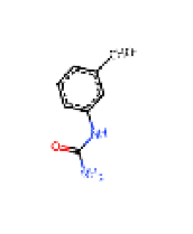 NC(=O)Nc1cccc([C]=O)c1